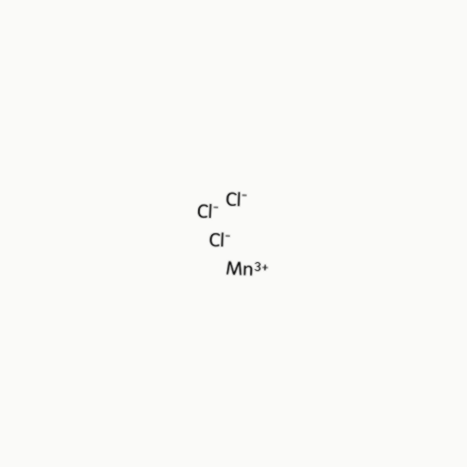 [Cl-].[Cl-].[Cl-].[Mn+3]